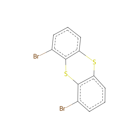 Brc1cccc2c1Sc1c(Br)cccc1S2